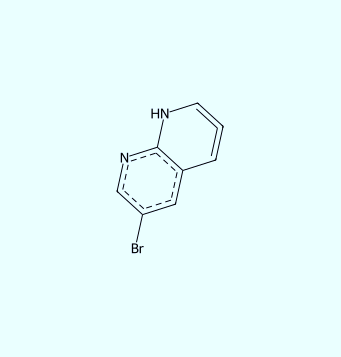 Brc1cnc2c(c1)C=C=CN2